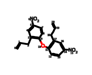 C=CCc1cc([N+](=O)[O-])ccc1Oc1ccc([N+](=O)[O-])cc1CC=C